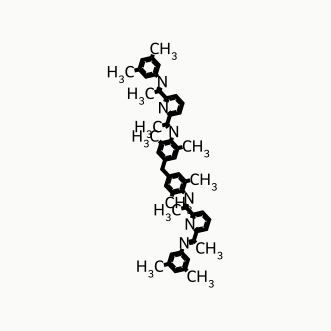 C/C(=N\c1cc(C)cc(C)c1)c1cccc(/C(C)=N/c2c(C)cc(Cc3cc(C)c(/N=C(\C)c4cccc(/C(C)=N/c5cc(C)cc(C)c5)n4)c(C)c3)cc2C)n1